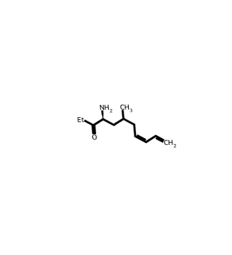 C=C/C=C\CC(C)C[C@H](N)C(=O)CC